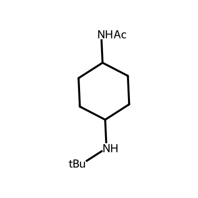 [CH2]C(=O)NC1CCC(NC(C)(C)C)CC1